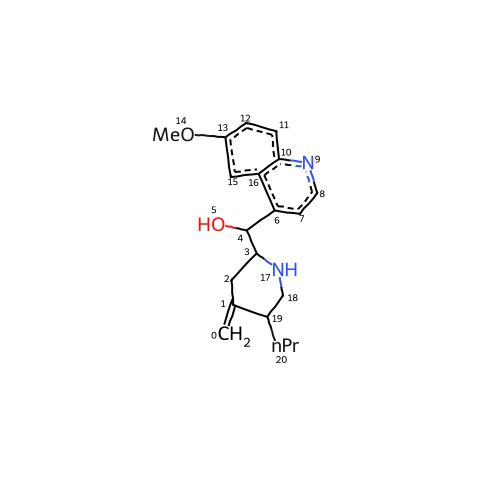 C=C1CC(C(O)c2ccnc3ccc(OC)cc23)NCC1CCC